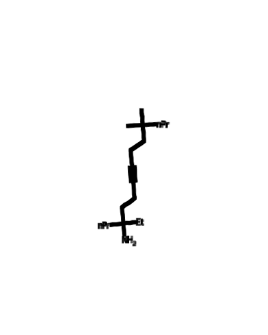 CCCC(C)(C)CCC#CCCC(N)(CC)CCC